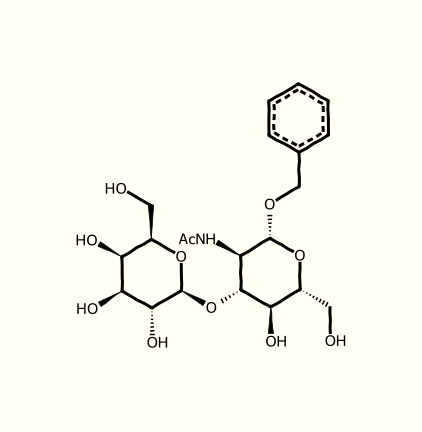 CC(=O)N[C@H]1[C@H](OCc2ccccc2)O[C@H](CO)[C@@H](O)[C@@H]1O[C@@H]1O[C@H](CO)[C@H](O)[C@H](O)[C@H]1O